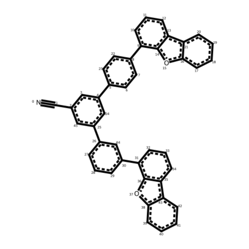 N#Cc1cc(-c2ccc(-c3cccc4c3oc3ccccc34)cc2)cc(-c2cccc(-c3cccc4c3oc3ccccc34)c2)c1